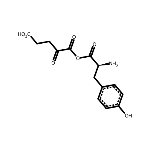 N[C@@H](Cc1ccc(O)cc1)C(=O)OC(=O)C(=O)CCC(=O)O